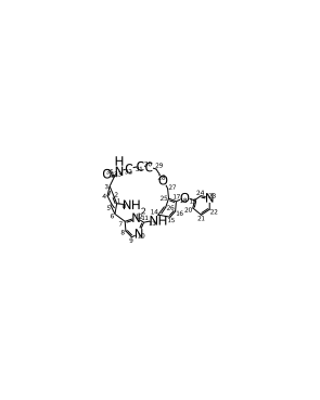 Nc1cc2ccc1-c1ccnc(n1)Nc1ccc(Oc3cccnc3)c(c1)COCCCCNC2=O